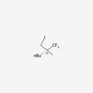 CCCC[C@](C)(CI)C(F)(F)F